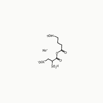 CCCCCCCCCCCCCC(=O)OC(=O)C(CC(=O)[O-])S(=O)(=O)O.[Na+]